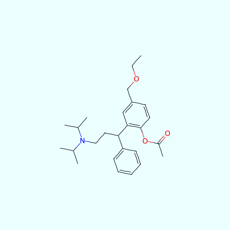 CCOCc1ccc(OC(C)=O)c(C(CCN(C(C)C)C(C)C)c2ccccc2)c1